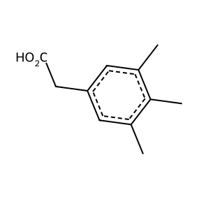 Cc1cc(CC(=O)O)cc(C)c1C